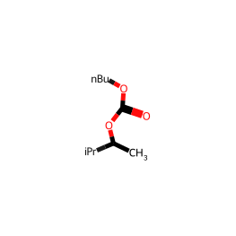 CCCCOC(=O)OC(C)C(C)C